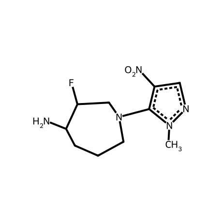 Cn1ncc([N+](=O)[O-])c1N1CCCC(N)C(F)C1